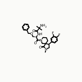 CN1CC(c2ccc(F)c(F)c2)C2(CCCN(C(=O)[C@@H](COCc3ccccc3)NC(=O)C(C)(C)N)C2)C1=O